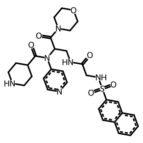 O=C(CNS(=O)(=O)c1ccc2ccccc2c1)NCC(C(=O)N1CCOCC1)N(C(=O)C1CCNCC1)c1ccncc1